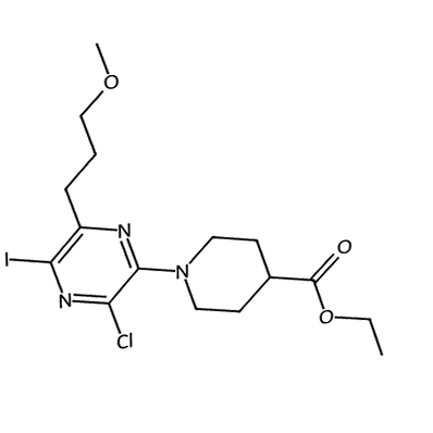 CCOC(=O)C1CCN(c2nc(CCCOC)c(I)nc2Cl)CC1